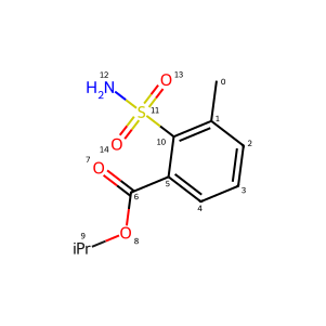 Cc1cccc(C(=O)OC(C)C)c1S(N)(=O)=O